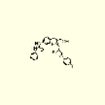 O=C(Nc1ccccc1)Nc1ccc(C[C@@H](CO)NC[C@H](O)COc2ccc(F)cc2)cc1